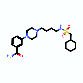 NC(=O)c1cccc(N2CCN(CCCCNS(=O)(=O)CC3CCCCC3)CC2)c1